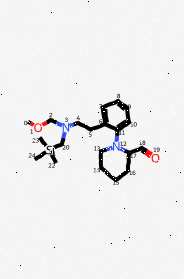 COCN(CCc1ccccc1N1CCCCC1C=O)C[Si](C)(C)C